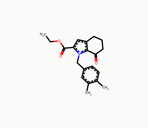 CCOC(=O)c1cc2c(n1Cc1ccc(C)c(C)c1)C(=O)CCC2